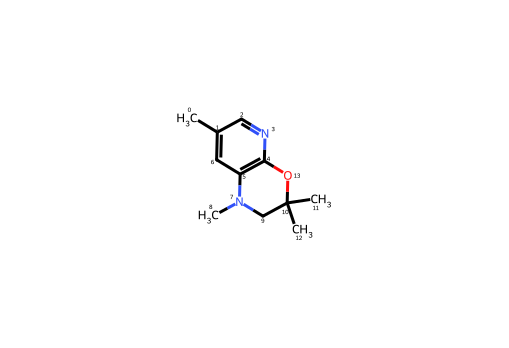 Cc1cnc2c(c1)N(C)CC(C)(C)O2